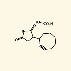 O=C(O)O.O=C1CC(C2C#CCCCCC2)C(=O)N1